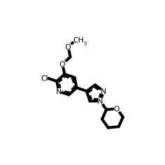 COCOc1cc(-c2cnn(C3CCCCO3)c2)cnc1Cl